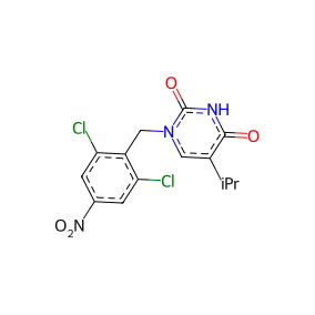 CC(C)c1cn(Cc2c(Cl)cc([N+](=O)[O-])cc2Cl)c(=O)[nH]c1=O